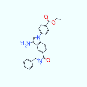 CCOC(=O)c1ccc(-n2cc(N)c3cc(C(=O)N(C)Cc4ccccc4)ccc32)cc1